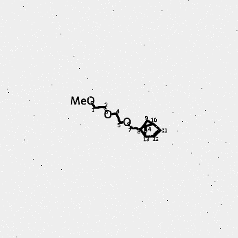 COCCOCCOCC1CC2C=CC1C2